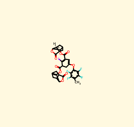 Cc1c(F)c(F)c(OC2=CC(C(=O)OC3C4CC5C(=O)OC3[C@H]5C4)=C(I)C(C(=O)OC3=C4CC5C(=O)OC3C5C4)C2)c(F)c1F